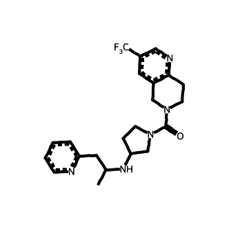 CC(Cc1ccccn1)NC1CCN(C(=O)N2CCc3ncc(C(F)(F)F)cc3C2)C1